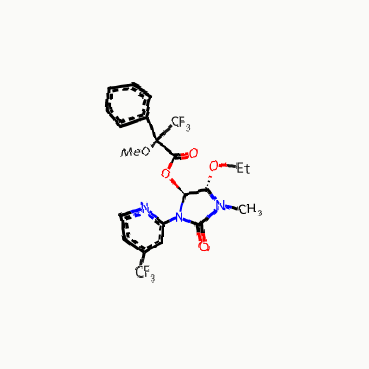 CCO[C@H]1[C@H](OC(=O)[C@](OC)(c2ccccc2)C(F)(F)F)N(c2cc(C(F)(F)F)ccn2)C(=O)N1C